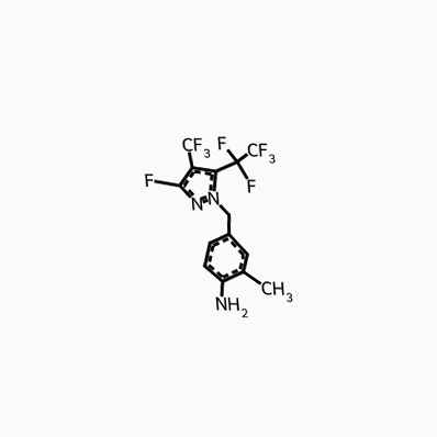 Cc1cc(Cn2nc(F)c(C(F)(F)F)c2C(F)(F)C(F)(F)F)ccc1N